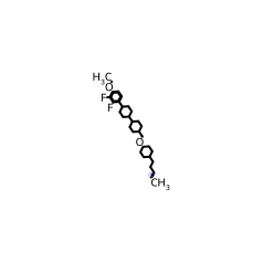 C/C=C/CCC1CCC(OCC2CCC(C3CCC(c4ccc(OCC)c(F)c4F)CC3)CC2)CC1